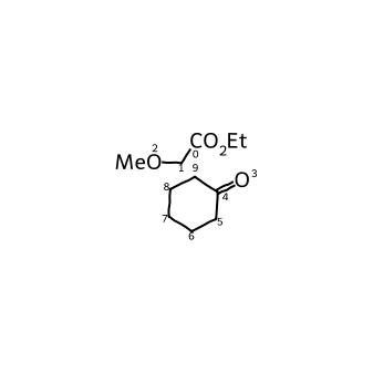 CCOC(=O)COC.O=C1CCCCC1